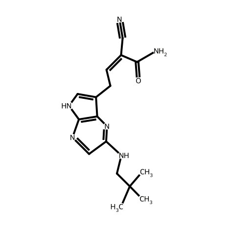 CC(C)(C)CNc1cnc2[nH]cc(CC=C(C#N)C(N)=O)c2n1